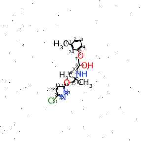 Cc1cccc(OCC(O)CNC(C)(C)COc2ccc(Cl)nn2)c1